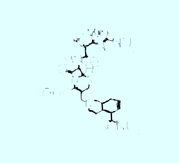 CON=C(C(=O)NC1C(=O)N2C(C(=O)[O-])=C(C[n+]3ccc4c(C(N)=O)cccc4c3)CS[C@@H]12)c1noc(N)n1